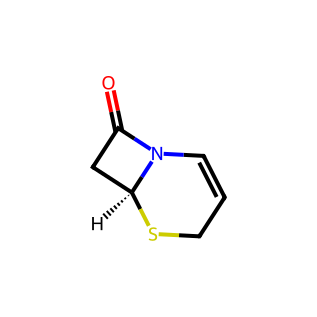 O=C1C[C@@H]2SCC=CN12